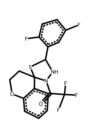 O=C(N1NC(c2cc(F)ccc2F)SC12CCOc1ccccc12)C(F)(F)F